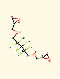 FC(F)(COCC1CO1)C(F)(F)C(F)(F)COCC1CO1